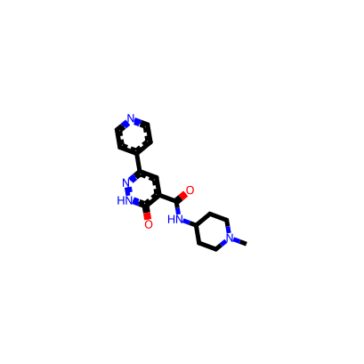 CN1CCC(NC(=O)c2cc(-c3ccncc3)n[nH]c2=O)CC1